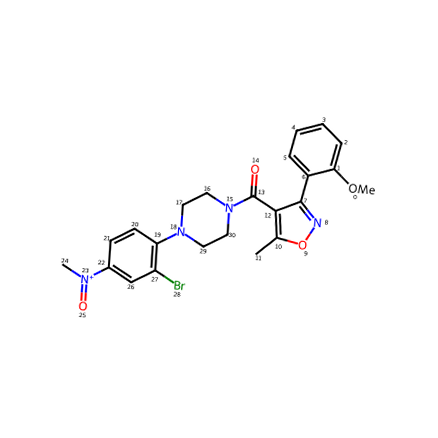 COc1ccccc1-c1noc(C)c1C(=O)N1CCN(c2ccc([N+](C)=O)cc2Br)CC1